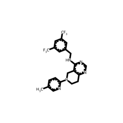 Cc1ccc(N2CCc3ncnc(NCc4cc(C(F)(F)F)cc(C(F)(F)F)c4)c3C2)nc1